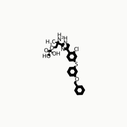 C[C@](N)(COP(=O)(O)O)c1nc(-c2ccc(Sc3cccc(OCc4ccccc4)c3)cc2Cl)c[nH]1